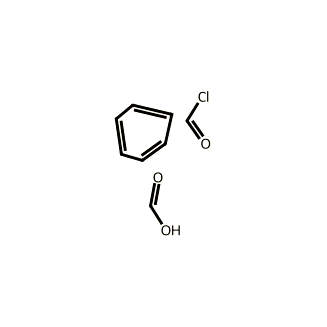 O=CCl.O=CO.c1ccccc1